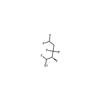 [CH2]CC(F)[C@H](F)C(F)(F)CC(F)F